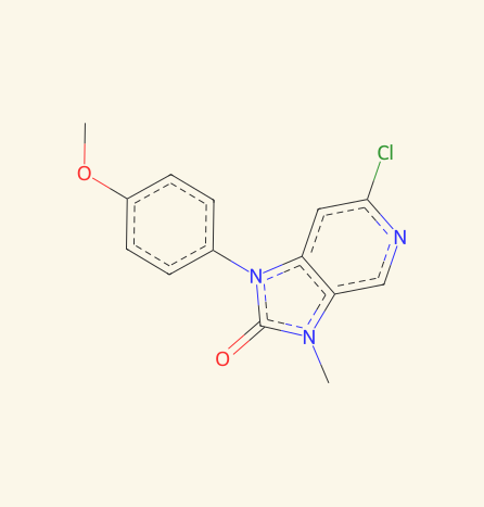 COc1ccc(-n2c(=O)n(C)c3cnc(Cl)cc32)cc1